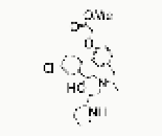 COC(=O)COc1ccc(CC(C)N(CCC2CCCCN2)CC(O)c2cccc(Cl)c2)cc1